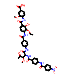 CCOc1c(NC(=O)c2ccc(NC(=O)C(NC(=O)c3ccc(NC(=O)c4ccc([N+](=O)[O-])cc4)cc3)C(OC)C(C)=O)cc2)ccc(C(=O)Nc2ccc(C(=O)O)cc2OC)c1O